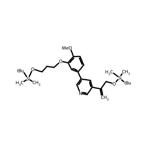 C=C(CO[Si](C)(C)C(C)(C)C)c1cncc(-c2ccc(OC)c(OCCCO[Si](C)(C)C(C)(C)C)c2)c1